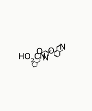 O=C(O)C(CC1CCCC1)n1ncc(Oc2cccc3cnccc23)cc1=O